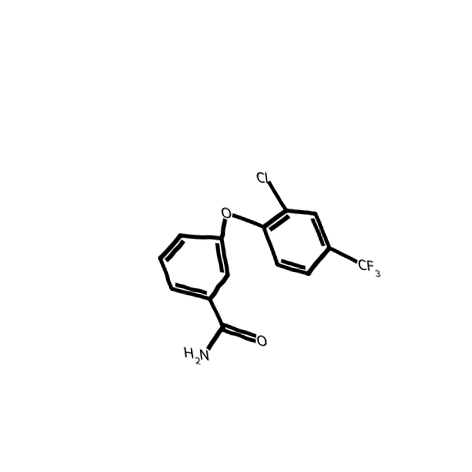 NC(=O)c1cccc(Oc2ccc(C(F)(F)F)cc2Cl)c1